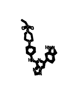 CCS(=O)(=O)N1CCN(c2ccc(Nc3nc(-c4ccc5cn[nH]c5c4)cn4ncnc34)cc2)CC1